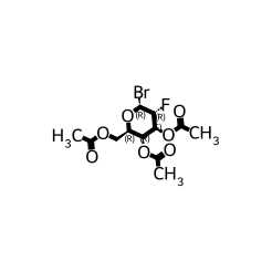 CC(=O)OC[C@H]1O[C@H](Br)[C@H](F)[C@@H](OC(C)=O)[C@@H]1OC(C)=O